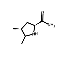 CC1N[C@H](C(N)=O)C[C@@H]1C